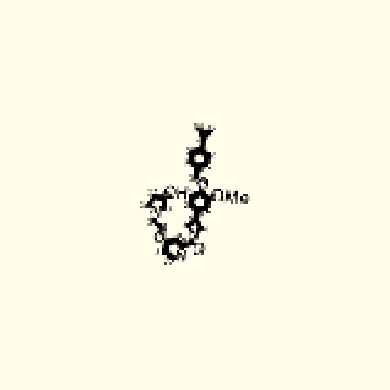 COc1cc(C2CN(C(=O)c3cc(OCCN4CC[C@H](O)C4)ccn3)C2)ccc1OCc1ccc(C2CC2)cc1